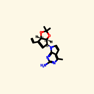 C=CC1=C[C@@H](n2ccc3c(C)nc(N)nc32)[C@@H]2OC(C)(C)O[C@H]12